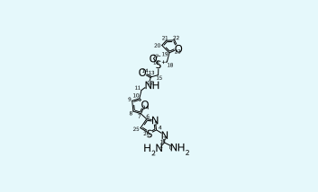 NC(N)=Nc1nc(-c2ccc(CNC(=O)C[S+]([O-])Cc3ccco3)o2)cs1